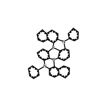 c1ccc(N2c3cccc4c3B(c3cccc5c3B4c3c(ccc4ccccc34)N5c3ccccc3)c3c2ccc2ccccc32)cc1